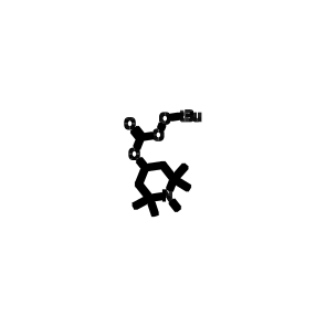 CN1C(C)(C)CC(OC(=O)OOC(C)(C)C)CC1(C)C